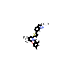 CCOC(=O)c1cc2ccc(-c3ccc(-c4cc(C(F)(F)F)c(C#N)c(=O)n4Cc4ccc(C)cc4C)s3)cc2[nH]1